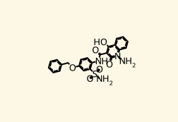 Nn1c(=O)c(C(=O)Nc2ccc(OCc3ccccc3)cc2S(N)(=O)=O)c(O)c2ccccc21